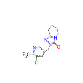 O=c1n(Cc2cnc(C(F)(F)F)c(Cl)c2)nc2n1CCCC2